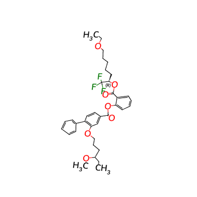 CCOCCCCC[C@@H](OC(=O)c1ccccc1OC(=O)c1ccc(-c2ccccc2)c(OCCCC(CC)OC)c1)C(F)(F)F